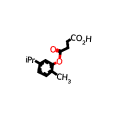 Cc1ccc(C(C)C)cc1OC(=O)CCC(=O)O